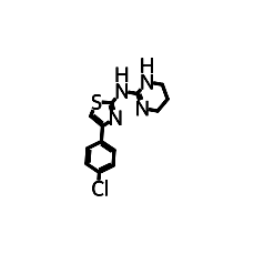 Clc1ccc(-c2csc(NC3=NCCCN3)n2)cc1